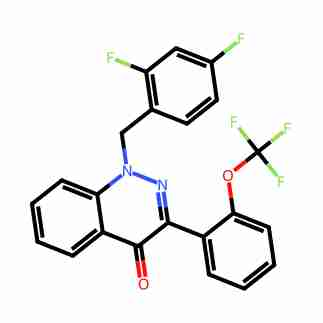 O=c1c(-c2ccccc2OC(F)(F)F)nn(Cc2ccc(F)cc2F)c2ccccc12